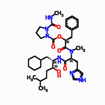 CNC(=O)N1CCCN1C(=O)O[C@@H](Cc1ccccc1)C(=O)N(C)[C@@H](Cc1c[nH]cn1)C(=O)N[C@@H](CC1CCCCC1)[C@@H](O)CCC(C)C